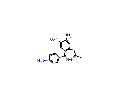 COc1cc2c(cc1N)CC(C)=NN=C2c1ccc(N)cc1